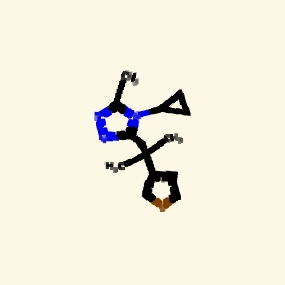 Cc1nnc(C(C)(C)c2ccsc2)n1C1CC1